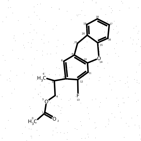 CC(=O)OCC(C)c1cc2c(cc1F)Oc1ccccc1C2